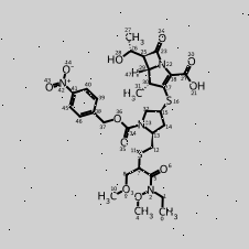 CCN(OC)C(=O)C(COC)SC[C@@H]1C[C@H](SC2=C(C(=O)O)N3C(=O)[C@H]([C@@H](C)O)[C@H]3[C@H]2C)CN1C(=O)OCc1ccc([N+](=O)[O-])cc1